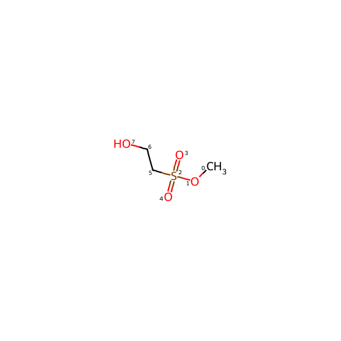 COS(=O)(=O)CCO